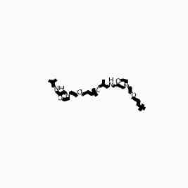 CC(C)CNCC1CN(CCOCCCC(C)(C)CCC(C)CNC[C@@H]2CN(CCOCCCC(C)(C)C)CCO2)CCO1